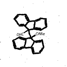 COC1(C2(C=O)c3ccccc3-c3ccccc32)c2ccccc2-c2ccccc21